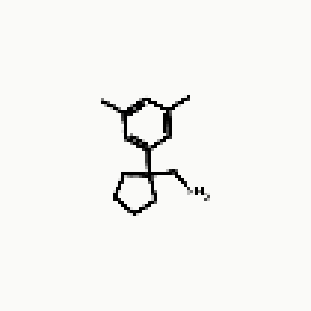 Cc1cc(C)cc(C2(CN)CCCC2)c1